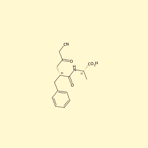 C[C@H](NC(=O)[C@@H](CC(=O)CC#N)Cc1ccccc1)C(=O)O